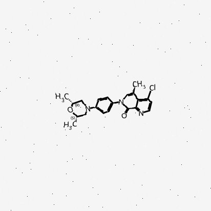 Cc1cn(-c2ccc(N3C[C@@H](C)O[C@@H](C)C3)cc2)c(=O)c2nccc(Cl)c12